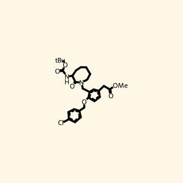 COC(=O)Cc1ccc(OCc2ccc(Cl)cc2)c(CN2CCCCCC(NC(=O)OC(C)(C)C)C2=O)c1